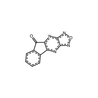 O=C1c2ccccc2-c2nc3nonc3nc21